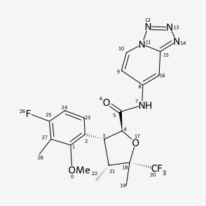 COc1c([C@@H]2[C@@H](C(=O)Nc3ccn4nnnc4c3)O[C@](C)(C(F)(F)F)[C@@H]2C)ccc(F)c1C